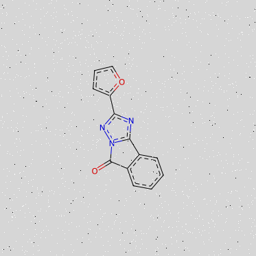 O=C1c2ccccc2-c2nc(-c3ccco3)nn21